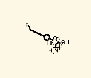 CC(C)(N)[C@H](NC(=O)c1ccc(C#CC#CCCF)cc1)C(=O)NO